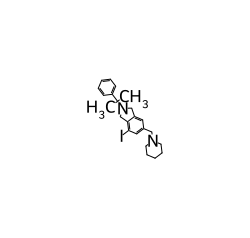 CC(C)(c1ccccc1)N1Cc2cc(CN3CCCCC3)cc(I)c2C1